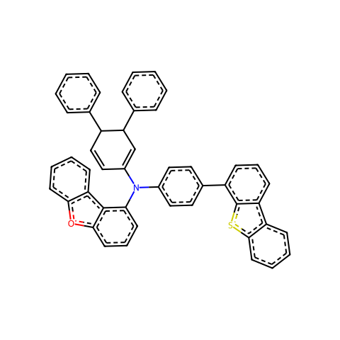 C1=CC(c2ccccc2)C(c2ccccc2)C=C1N(c1ccc(-c2cccc3c2sc2ccccc23)cc1)c1cccc2oc3ccccc3c12